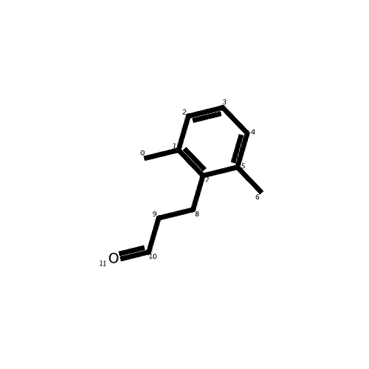 Cc1cccc(C)c1CCC=O